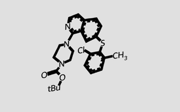 Cc1cccc(Cl)c1Sc1ccc2ccnc(N3CCN(C(=O)OC(C)(C)C)CC3)c2c1